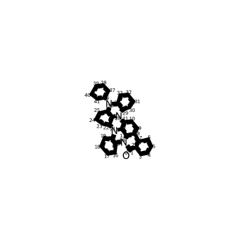 O=c1c2ccccc2c2ccc3c4c2n1c1ccccc1n-4c1cccc2c1-n3c1ccccc1n2-c1ccccc1